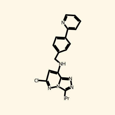 CC(C)c1nnc2c(NCc3ccc(-c4ccccn4)cc3)cc(Cl)nn12